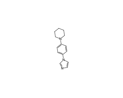 c1cn(-c2ccc(N3CCCCC3)cc2)cn1